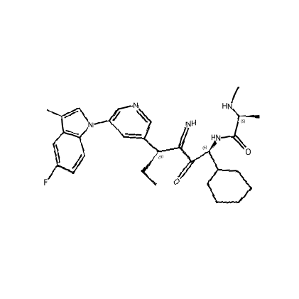 CC[C@H](C(=N)C(=O)[C@@H](NC(=O)[C@H](C)NC)C1CCCCC1)c1cncc(-n2cc(C)c3cc(F)ccc32)c1